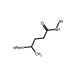 CCCCCC(C)CCC(=O)NC(C)C